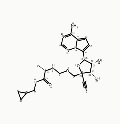 C[C@H](NCOC[C@@]1(C#N)O[C@@H](c2ccc3c(N)ncnn23)[C@H](O)[C@@H]1O)C(=O)OCC1CC1